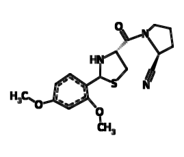 COc1ccc(C2N[C@H](C(=O)N3CCC[C@H]3C#N)CS2)c(OC)c1